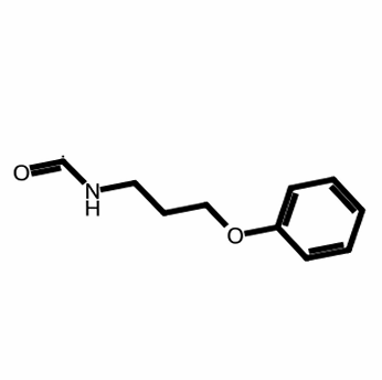 O=[C]NCCCOc1ccccc1